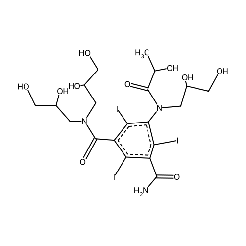 CC(O)C(=O)N(CC(O)CO)c1c(I)c(C(N)=O)c(I)c(C(=O)N(CC(O)CO)CC(O)CO)c1I